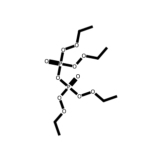 CCOOP(=O)(OOCC)OP(=O)(OOCC)OOCC